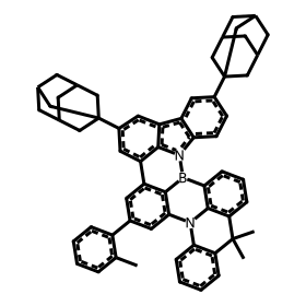 Cc1ccccc1-c1cc2c3c(c1)N1c4ccccc4C(C)(C)c4cccc(c41)B3n1c3ccc(C45CC6CC(CC(C6)C4)C5)cc3c3cc(C45CC6CC(CC(C6)C4)C5)cc-2c31